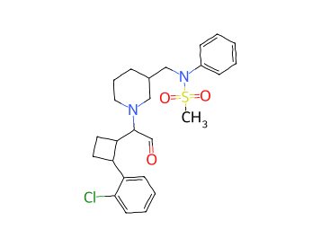 CS(=O)(=O)N(CC1CCCN(C(C=O)C2CCC2c2ccccc2Cl)C1)c1ccccc1